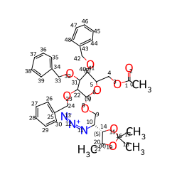 CC(=O)OCC1O[C@H](OCC(N=[N+]=[N-])[C@@H]2OC(C)(C)O[C@@H]2C)C(OCc2ccccc2)C(OCc2ccccc2)[C@@H]1OCc1ccccc1